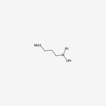 CCCN(CCCSC)C(C)=O